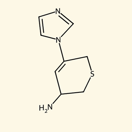 NC1C=C(n2ccnc2)CSC1